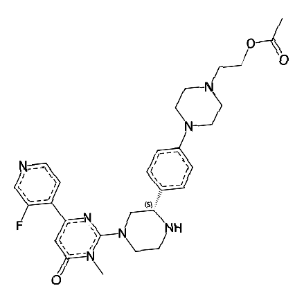 CC(=O)OCCN1CCN(c2ccc([C@H]3CN(c4nc(-c5ccncc5F)cc(=O)n4C)CCN3)cc2)CC1